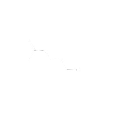 CCCCOC(=O)I